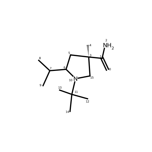 C=C(N)[C@]1(C)CC(C(C)C)N(C(C)(C)C)C1